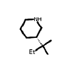 CCC(C)(C)[C@@H]1CCCNC1